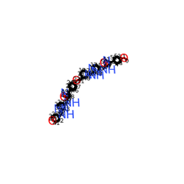 COc1ccc(-c2cc(Nc3ccnc(NN4CCCC(COc5ccc(-c6cc(Nc7ccnc(NC8CCOCC8)n7)on6)cc5)C4)n3)on2)cc1